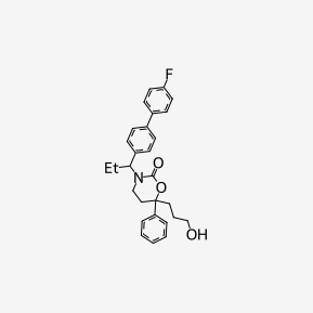 CCC(c1ccc(-c2ccc(F)cc2)cc1)N1CCC(CCCO)(c2ccccc2)OC1=O